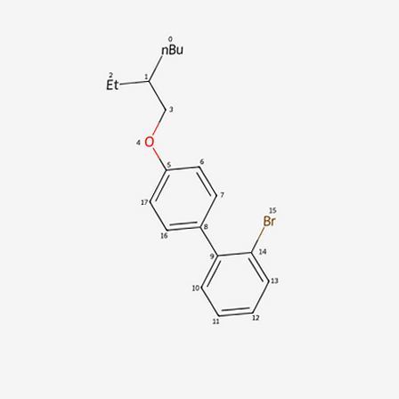 CCCCC(CC)COc1ccc(-c2ccccc2Br)cc1